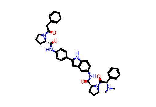 CN(C)[C@@H](C(=O)N1CCC[C@H]1C(=O)Nc1ccc2[nH]c(-c3ccc(NC(=O)[C@@H]4CCCN4C(=O)CC4=CCCC=C4)cc3)cc2c1)c1ccccc1